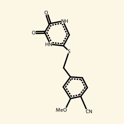 COc1cc(CSc2c[nH]c(=O)c(=O)[nH]2)ccc1C#N